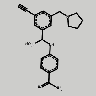 C#Cc1cc(CN2CCCC2)cc(C(Nc2ccc(C(=N)N)cc2)C(=O)O)c1